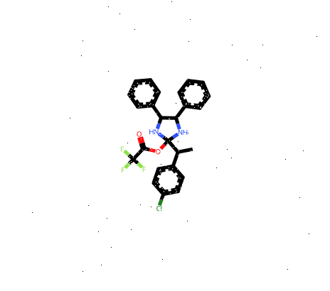 CC(c1ccc(Cl)cc1)C1(OC(=O)C(F)(F)F)NC(c2ccccc2)C(c2ccccc2)N1